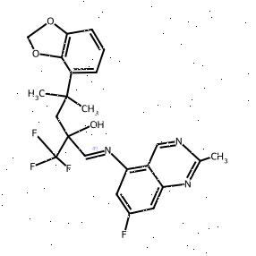 Cc1ncc2c(/N=C/C(O)(CC(C)(C)c3cccc4c3OCO4)C(F)(F)F)cc(F)cc2n1